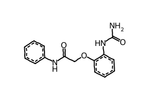 NC(=O)Nc1ccccc1OCC(=O)Nc1ccccc1